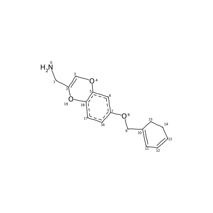 NCC1=COc2cc(OCC3=CC=CCC3)ccc2O1